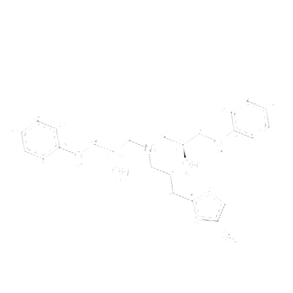 CC(=O)c1ccc(CC[C@H](C)N(C[C@H](O)COc2ccccc2)C[C@H](O)COc2ccccc2)s1